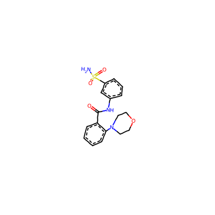 NS(=O)(=O)c1cccc(NC(=O)c2ccccc2N2CCOCC2)c1